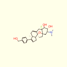 CN(C)[C@H]1C[C@@]23CC[C@@]4(O2)C(=CC[C@]2(C)C(c5ccc(CO)cc5)=CCC24)CC3(F)[C@@H](O)[C@@H]1O